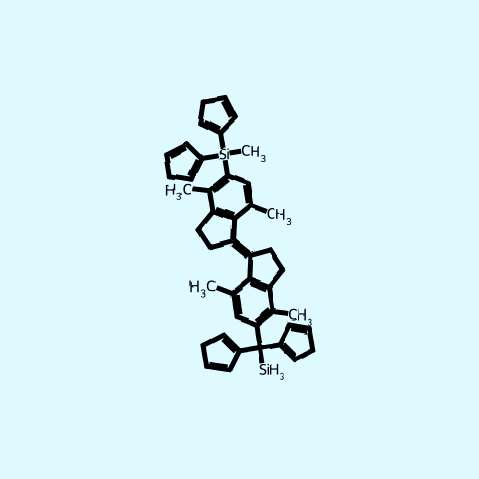 Cc1cc(C([SiH3])(C2=CCC=C2)C2=CCC=C2)c(C)c2c1/C(=C1\CCc3c(C)c([Si](C)(C4=CCC=C4)C4=CCC=C4)cc(C)c31)CC2